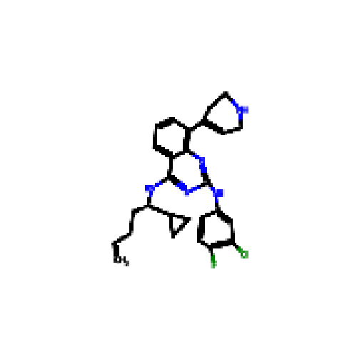 C=CCC[C@@H](Nc1nc(Nc2ccc(F)c(Cl)c2)nc2c(C3=CCNCC3)cccc12)C1CC1